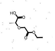 CCOC(=O)CO[C@H](C)C(=O)O